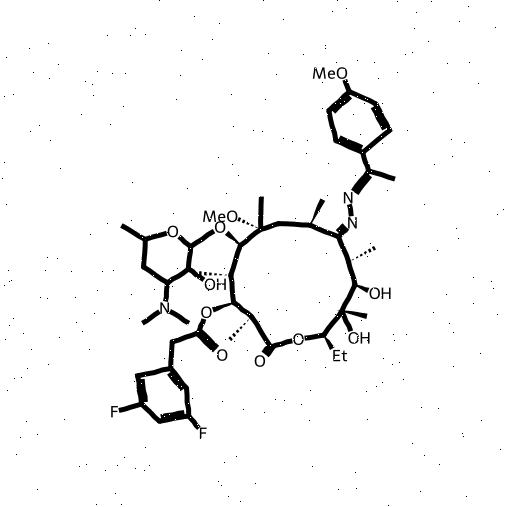 CC[C@H]1OC(=O)[C@H](C)[C@@H](OC(=O)Cc2cc(F)cc(F)c2)[C@H](C)[C@@H](OC2OC(C)CC(N(C)C)C2O)[C@](C)(OC)C[C@@H](C)/C(=N\N=C(/C)c2ccc(OC)cc2)[C@H](C)[C@@H](O)[C@]1(C)O